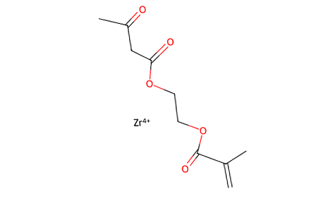 C=C(C)C(=O)OCCOC(=O)CC(C)=O.[Zr+4]